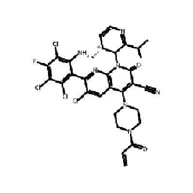 C=CC(=O)N1CCN(c2c(C#N)c(=O)n(C3C(C(C)C)=NC=C[C@H]3C)c3nc(-c4c(N)c(Cl)c(F)c(Cl)c4Cl)c(Cl)cc23)CC1